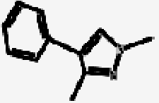 [CH2]n1cc(-c2ccccc2)c(C)n1